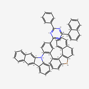 c1ccc(-c2nc(-c3ccc(-n4c5ccccc5c5cc6ccccc6cc54)c(-c4cccc5sc6ccc7ccccc7c6c45)c3)nc(-c3cccc4ccccc34)n2)cc1